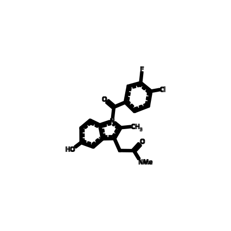 CNC(=O)Cc1c(C)n(C(=O)c2ccc(Cl)c(F)c2)c2ccc(O)cc12